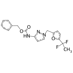 CC(F)(F)c1ccc(Cn2ccc(NC(=O)OCc3ccccc3)n2)o1